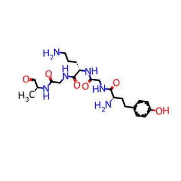 C[C@@H](C=O)NC(=O)CNC(=O)[C@H](CCCN)NC(=O)CNC(=O)[C@@H](N)CCc1ccc(O)cc1